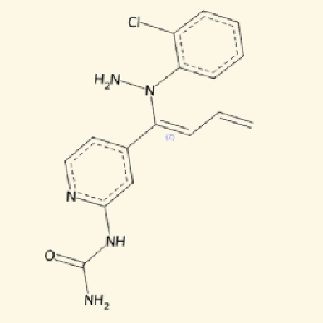 C=C/C=C(/c1ccnc(NC(N)=O)c1)N(N)c1ccccc1Cl